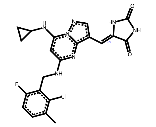 Cc1ccc(F)c(CNc2cc(NC3CC3)n3ncc(/C=C4\NC(=O)NC4=O)c3n2)c1Cl